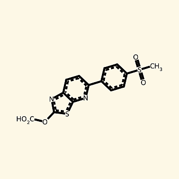 CS(=O)(=O)c1ccc(-c2ccc3nc(OC(=O)O)sc3n2)cc1